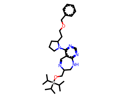 CC(C)[Si](OCC1CNc2ncnc(N3CCCC3CCOCc3ccccc3)c2C=N1)(C(C)C)C(C)C